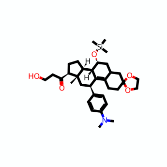 CN(C)c1ccc([C@H]2C[C@]3(C)[C@@H](C(=O)CCO)CC[C@H]3[C@H]3C2=C2CCC4(CC2C[C@H]3O[Si](C)(C)C)OCCO4)cc1